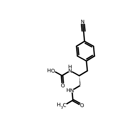 CC(=O)NC[C@@H](Cc1ccc(C#N)cc1)NC(=O)O